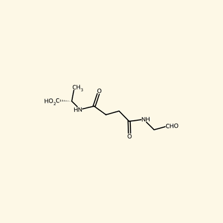 C[C@H](NC(=O)CCC(=O)NCC=O)C(=O)O